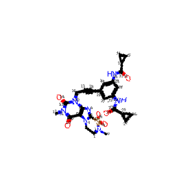 CN1CCn2c(nc3c2c(=O)n(C)c(=O)n3CC#Cc2cc(NC(=O)C3CC3)cc(NC(=O)C3CC3)c2)S1(=O)=O